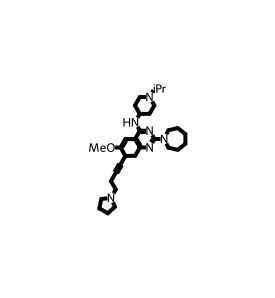 COC1=Cc2c(nc(N3CCCCCC3)nc2NC2CCN(C(C)C)CC2)CC1C#CCCN1CCCC1